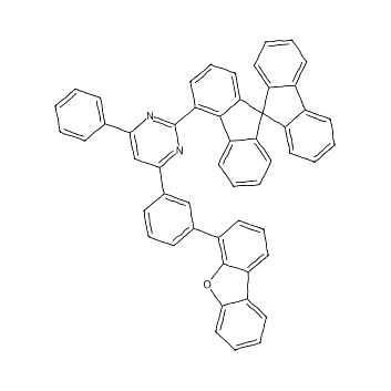 c1ccc(-c2cc(-c3cccc(-c4cccc5c4oc4ccccc45)c3)nc(-c3cccc4c3-c3ccccc3C43c4ccccc4-c4ccccc43)n2)cc1